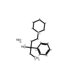 CCC(O)(CCN1CCCCC1)c1ccccc1.Cl